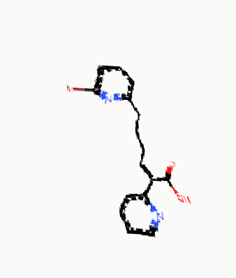 O=C(O)C(=CCCCc1cccc(Br)n1)c1ccccn1